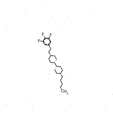 CCCCC[C@H]1CC[C@H]([C@H]2CC[C@H](CCc3cc(F)c(F)c(F)c3)CC2)CC1